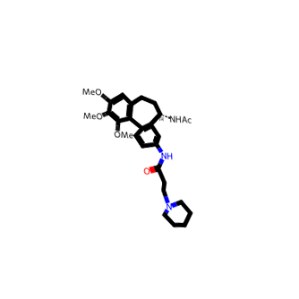 COc1cc2c(c(OC)c1OC)-c1ccc(NC(=O)CCN3CCCCC3)cc1[C@@H](NC(C)=O)CC2